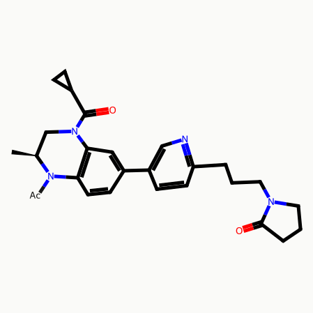 CC(=O)N1c2ccc(-c3ccc(CCCN4CCCC4=O)nc3)cc2N(C(=O)C2CC2)C[C@@H]1C